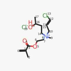 C=C(C)C(=O)OCC[N+](C)(CC=CCl)CCC(C)O.[Cl-]